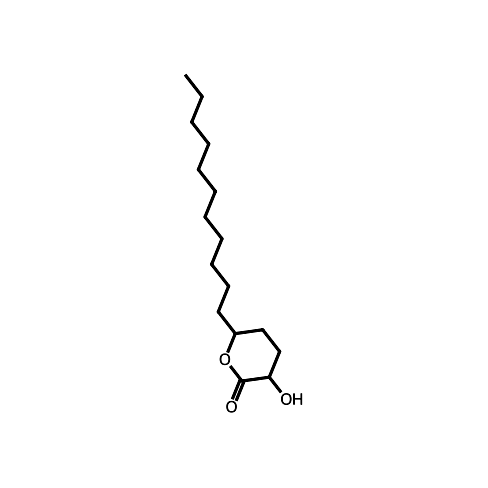 CCCCCCCCCCCC1CCC(O)C(=O)O1